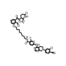 CN(C(=O)c1cccc(OCCCCCCCCNC(=O)c2ccc(Nc3ncnc4c3CCN(c3ccc(C#N)c(Cl)c3)C4)nc2F)c1C=O)C1CCC(=O)NC1=O